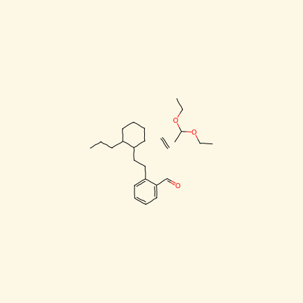 C=C.CCCC1CCCCC1CCc1ccccc1C=O.CCOC(C)OCC